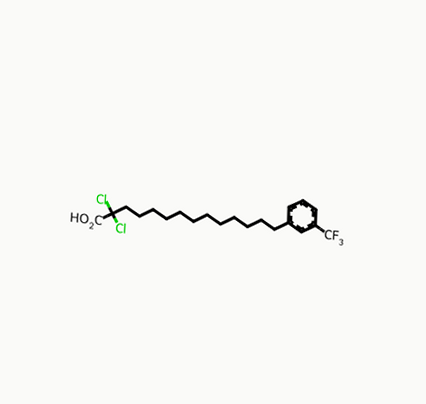 O=C(O)C(Cl)(Cl)CCCCCCCCCCCCc1cccc(C(F)(F)F)c1